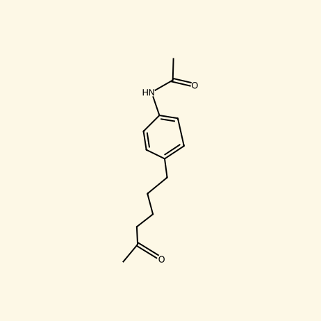 CC(=O)CCCCc1ccc(NC(C)=O)cc1